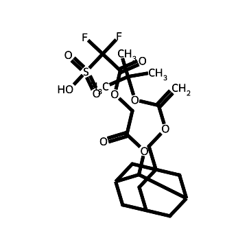 C=C(OCC12CC3CC(C1)C(OC(=O)COC(=O)C(F)(F)S(=O)(=O)O)C(C3)C2)OC(C)(C)C